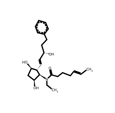 CC=CCCCC(=O)N(CC)[C@@H]1[C@@H](/C=C/[C@@H](O)CCc2ccccc2)[C@H](O)C[C@@H]1O